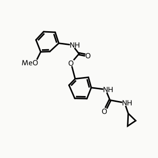 COc1cccc(NC(=O)Oc2cccc(NC(=O)NC3CC3)c2)c1